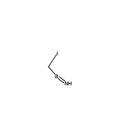 N=BCI